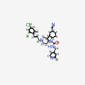 N#Cc1ccc2c(c1)c1c(n2C(=O)NCc2ccnc(F)c2)CCN(C/C=C/c2c(F)cc(Cl)cc2F)C1